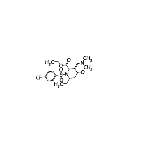 CCOC(=O)C1/C(=C/N(C)C)C(=O)CC(CC)N1S(=O)(=O)c1ccc(Cl)cc1